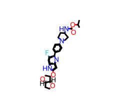 CC(C)OC(=O)NC1CCN(c2ccc(-c3nc4cc(OC5CO[C@@H]6CCO[C@H]56)[nH]c4cc3F)cc2)CC1